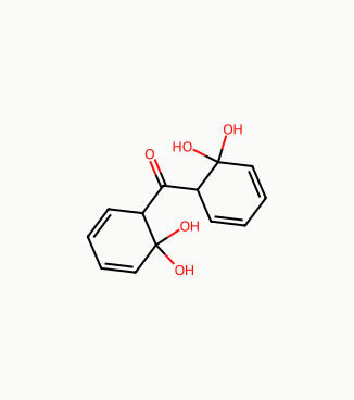 O=C(C1C=CC=CC1(O)O)C1C=CC=CC1(O)O